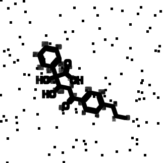 CCCc1ccc(C(=O)CC(O)C(O)(C(=O)O)c2ccccc2)cc1